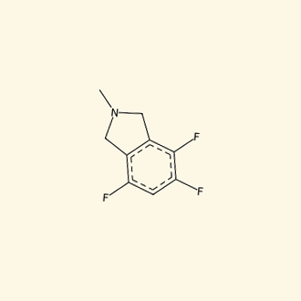 CN1Cc2c(F)cc(F)c(F)c2C1